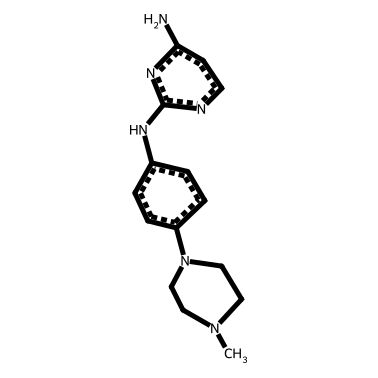 CN1CCN(c2ccc(Nc3nccc(N)n3)cc2)CC1